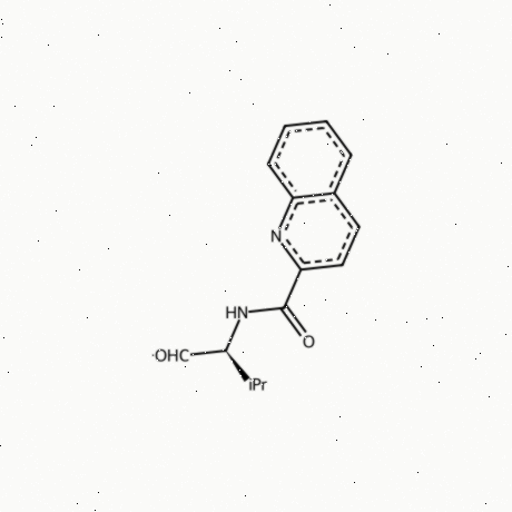 CC(C)[C@@H]([C]=O)NC(=O)c1ccc2ccccc2n1